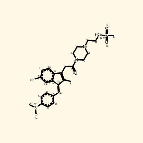 CC1=C(CC(=O)N2CCN(CCNS(C)(=O)=O)CC2)c2ccc(F)cc2/C1=C\c1ccc([S+](C)[O-])cc1